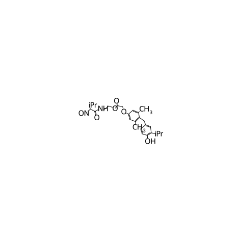 Cc1cc(OCC(=O)OCCNC(=O)C(N=O)C(C)C)cc(C)c1Cc1ccc(O)c(C(C)C)c1